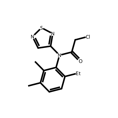 CCc1ccc(C)c(C)c1N(C(=O)CCl)c1cnsn1